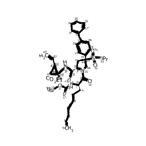 C=CCCCCC[C@H](NC(=O)OC(C)(C)C)C(=O)N1C[C@@](c2ccc(-c3ccccc3)cc2)(S(=O)(=O)CCC)C[C@H]1C(=O)N[C@]1(C(=O)OCC)C[C@H]1C=C